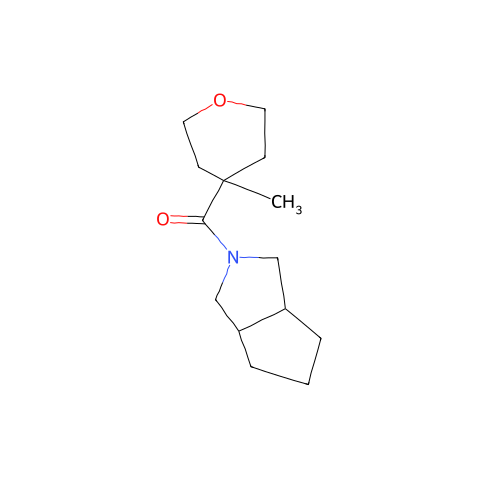 CC1(C(=O)N2CC3CCCC3C2)CCOCC1